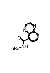 CCCCNC(=O)c1cccc2nccnc12